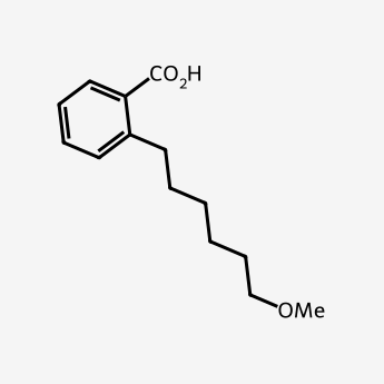 COCCCCCCc1ccccc1C(=O)O